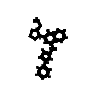 OCC1CCCN1c1nc(Nc2cn(-c3ccccc3)cn2)c2ccccc2n1